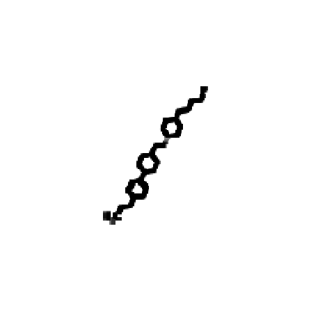 CCCc1ccc(C2CCC(CC[C@H]3CC[C@H](/C=C/CCF)CC3)CC2)cc1